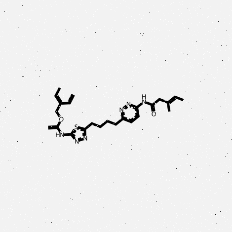 C=C/C(=C\C)COC(=C)Nc1nnc(CCCCc2ccc(NC(=O)C/C(C)=C/C)nn2)s1